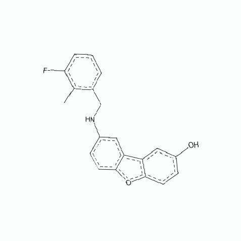 Cc1c(F)cccc1CNc1ccc2oc3ccc(O)cc3c2c1